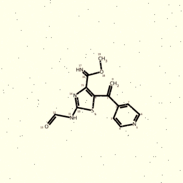 C=C(c1ccncc1)c1sc(NC=O)nc1C(=N)OC